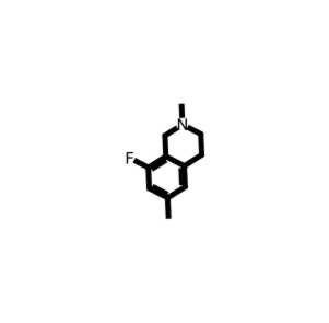 Cc1cc(F)c2c(c1)CCN(C)C2